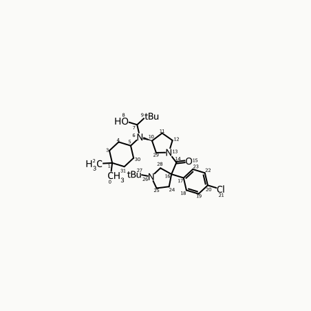 CC1(C)CCC(N(C(O)C(C)(C)C)[C@H]2CCN(C(=O)C3(c4ccc(Cl)cc4)CCN(C(C)(C)C)C3)C2)CC1